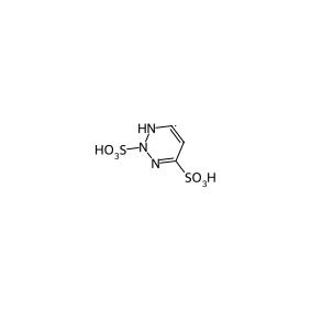 O=S(=O)(O)C1=NN(S(=O)(=O)O)N[C]=C1